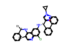 CC[C@@H](Nc1c(C#N)cnc2c(Cl)cc(N[C@H](c3cn(C4CC4)nn3)c3ccccc3-c3ccccc3)cc12)c1ccccc1